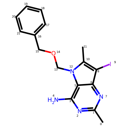 Cc1nc(N)c2c(n1)c(I)c(C)n2COCc1ccccc1